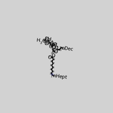 CCCCCCC/C=C\CCCCCCCC(=O)OC[C@H](COP(=O)([O-])OCC[N+](C)(C)C)OC(=O)CCCCCCCCCCCC